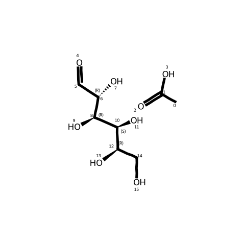 CC(=O)O.O=C[C@H](O)[C@H](O)[C@@H](O)[C@H](O)CO